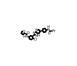 CC(C)C(=O)Nc1ccc(-c2cnc3nc(-c4cc(NC(=O)c5ccco5)ccc4Cl)[nH]c3c2)cc1